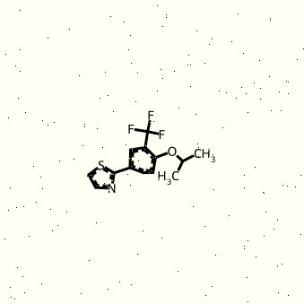 CC(C)Oc1ccc(-c2nccs2)cc1C(F)(F)F